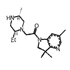 CC[C@H]1CN[C@H](C)CN1CC(=O)N1CC(C)(C)c2ncc(C)cc21